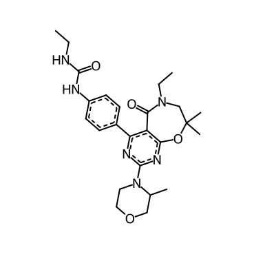 CCNC(=O)Nc1ccc(-c2nc(N3CCOCC3C)nc3c2C(=O)N(CC)CC(C)(C)O3)cc1